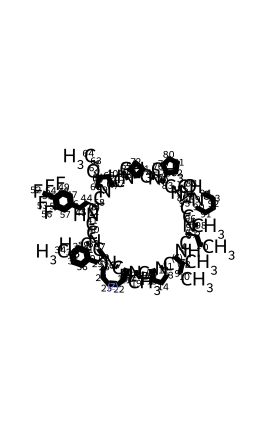 CCC[C@H]1CN[C@@H]([C@@H](C)CC)CN2CCC[C@H]2CN(C)[C@H]2C/C=C\CCN(C2)[C@@H](Cc2ccc(C)cc2)CN(C)CCN[C@@H](CCc2cc(F)c(C(F)(F)F)c(F)c2)CN2C[C@H](OCC)C[C@H]2CN(C)C2(CCC2)CN(C)[C@@H](C2CCCC2)CN(C)[C@H](C(=O)N2CCCCC2)CCN1C